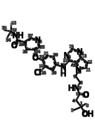 CC(C)(O)CC(=O)NCCn1ccc2ncnc(Nc3ccc(Oc4cncc(C(=O)NC(C)(C)C)c4)c(Cl)c3)c21